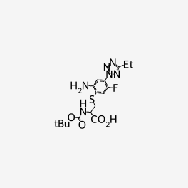 CCc1nnn(-c2cc(N)c(SC[C@H](NC(=O)OC(C)(C)C)C(=O)O)cc2F)n1